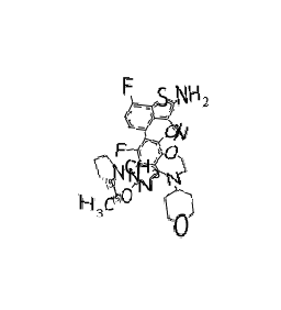 C[C@H](Oc1nc2c3c(c(Cl)c(-c4ccc(F)c5sc(N)c(C#N)c45)c(F)c3n1)OCCN2C1CCOCC1)[C@@H]1CCCN1C